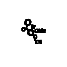 COc1c(OCC#N)ccc(C(=O)c2ccccc2)c1Br